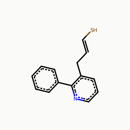 SC=CCc1cccnc1-c1ccccc1